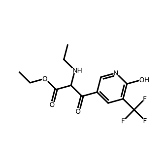 CCNC(C(=O)OCC)C(=O)c1cnc(O)c(C(F)(F)F)c1